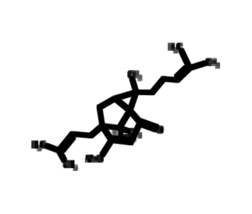 COC1=CC(=O)C23C(CC1(CC=C(C)C)[C@@]2(C)OC)C3(C)CCC=C(C)C